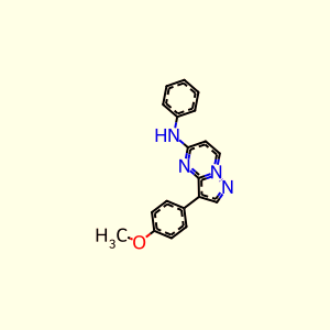 COc1ccc(-c2cnn3ccc(Nc4ccccc4)nc23)cc1